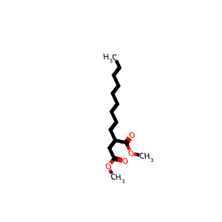 CCCCCCCCCC(CC(=O)OC)C(=O)OC